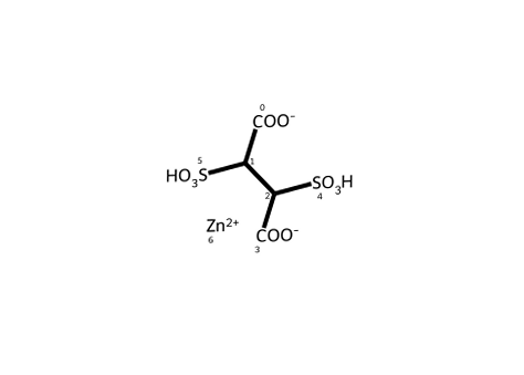 O=C([O-])C(C(C(=O)[O-])S(=O)(=O)O)S(=O)(=O)O.[Zn+2]